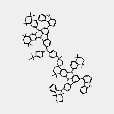 CC(C)(C)c1ccc(N(c2ccc(C(C)(C)CCC3(C)CCC(C)(C)c4cc5c(cc43)N(c3ccc4c(c3)C(C)(C)CCC4(C)C)c3cc(-c4cccc6oc7ccccc7c46)cc4c3B5c3cc(N5c6ccccc6C6(C)CCCCC56C)ccc3-4)cc2)c2ccc3c(c2)B2c4cc5c(cc4N(c4ccc6c(c4)C(C)(C)CCC6(C)C)c4cc(-c6cccc7oc8ccccc8c67)cc-3c42)C(C)(C)CCC5(C)C)cc1